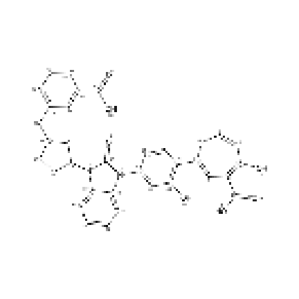 O=C(O)C1=C(O)C=CCC(c2ccc(-n3c(=O)n(C4CCN(Cc5cc(C(=O)O)ccn5)C4)c4ncccc43)cc2O)=C1